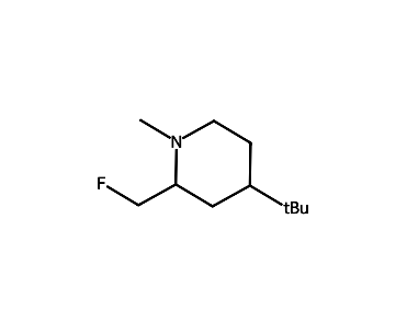 CN1CCC(C(C)(C)C)CC1CF